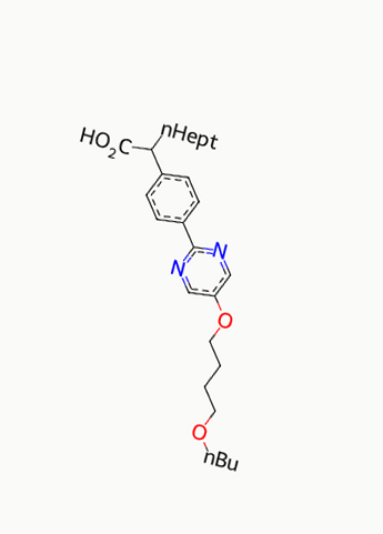 CCCCCCCC(C(=O)O)c1ccc(-c2ncc(OCCCCOCCCC)cn2)cc1